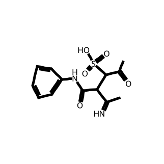 CC(=N)C(C(=O)Nc1ccccc1)C(C(C)=O)S(=O)(=O)O